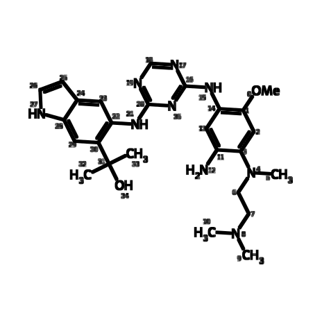 COc1cc(N(C)CCN(C)C)c(N)cc1Nc1ncnc(Nc2cc3cc[nH]c3cc2C(C)(C)O)n1